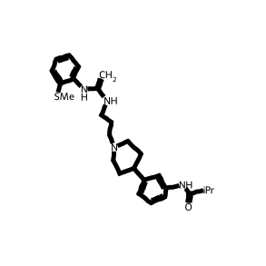 C=C(NCCCN1CCC(c2cccc(NC(=O)C(C)C)c2)CC1)Nc1ccccc1SC